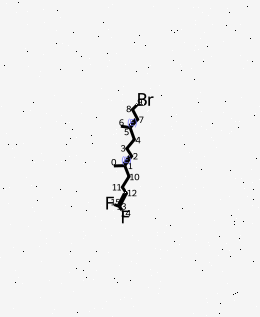 C/C(=C\CC/C(C)=C/CBr)CCC=C(F)F